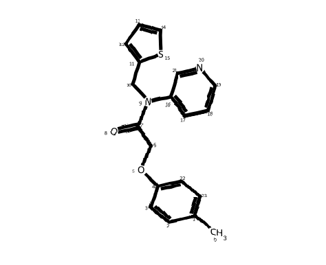 Cc1ccc(OCC(=O)N(Cc2cccs2)c2cccnc2)cc1